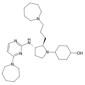 OC1CCC(N2CC[C@H](Nc3nccc(N4CCCCCC4)n3)[C@H]2CCCN2CCCCCC2)CC1